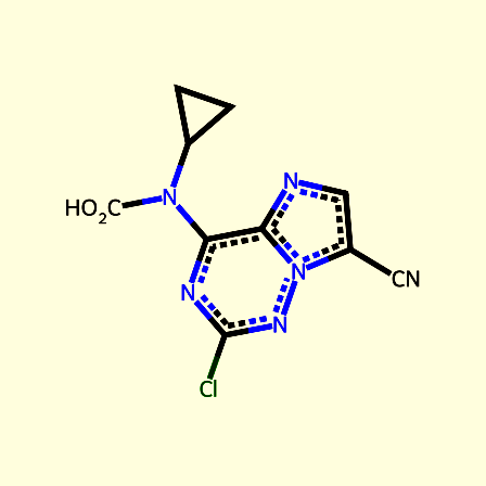 N#Cc1cnc2c(N(C(=O)O)C3CC3)nc(Cl)nn12